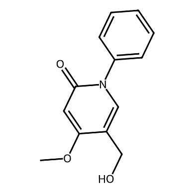 COc1cc(=O)n(-c2ccccc2)cc1CO